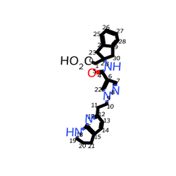 O=C(O)CC1(NC(=O)c2cnn(CCc3ccc4c(n3)NCCC4)c2)Cc2ccccc2C1